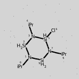 CC(C)N1[SiH2]N(C(C)C)[SiH](Cl)N(C(C)C)[SiH2]1